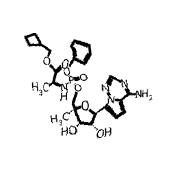 C[C@H](N[P@](=O)(OC[C@@]1(C)O[C@@H](c2ccc3c(N)ncnn23)[C@H](O)[C@@H]1O)Oc1ccccc1)C(=O)OCC1CCC1